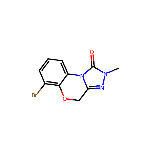 Cn1nc2n(c1=O)-c1cccc(Br)c1OC2